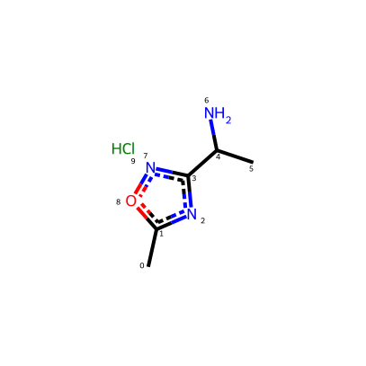 Cc1nc(C(C)N)no1.Cl